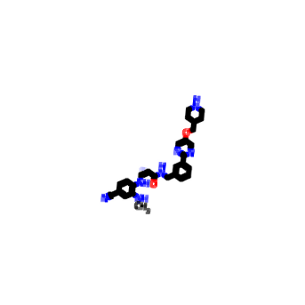 CNc1cc(C#N)ccc1N/C=C\C(=O)NCc1cccc(-c2ncc(OCC3CCNCC3)cn2)c1